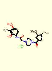 COc1ccc(C(=O)N2CCN(CC(=O)Nc3ccc(O)c([N+](=O)[O-])c3O)CC2)cc1OC.Cl